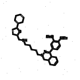 COc1ccc(C2=NN(CCCCCNCC3CCC(C4CCCCC4)O3)CC3CC=CCC23)cc1OC